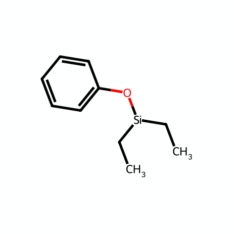 CC[Si](CC)Oc1ccccc1